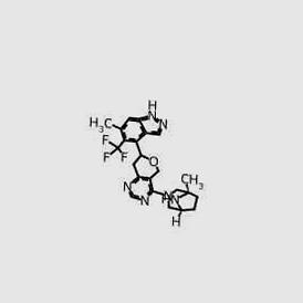 Cc1cc2[nH]ncc2c(C2Cc3ncnc(N4C[C@H]5CC[C@@](C)(C4)N5)c3CO2)c1C(F)(F)F